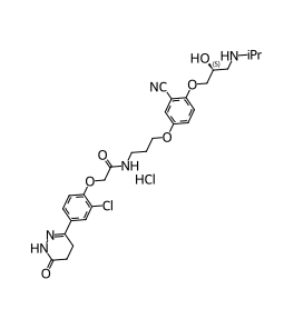 CC(C)NC[C@H](O)COc1ccc(OCCCNC(=O)COc2ccc(C3=NNC(=O)CC3)cc2Cl)cc1C#N.Cl